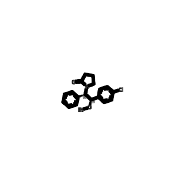 CCO[C@H](c1ccc(Cl)cc1)[C@H](c1ccccc1)N1CCCC1=O